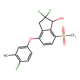 N#Cc1cc(Oc2ccc(S(=O)(=O)C(F)(F)F)c3c2CC(F)(F)C3O)ccc1F